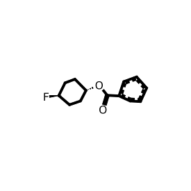 O=C(O[C@H]1CC[C@H](F)CC1)c1ccccc1